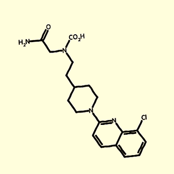 NC(=O)CN(CCC1CCN(c2ccc3cccc(Cl)c3n2)CC1)C(=O)O